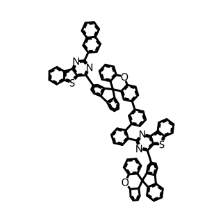 C1=CC2Oc3ccccc3C3(c4ccccc4-c4ccc(-c5nc(-c6ccccc6-c6cccc(-c7ccc8c(c7)C7(c9ccccc9O8)c8ccccc8-c8ccc(-c9nc(-c%10ccc%11ccccc%11c%10)nc%10c9sc9ccccc9%10)cc87)c6)nc6c5sc5ccccc56)cc43)C2C=C1